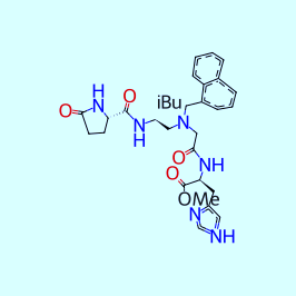 CC[C@H](C)[C@@H](CN(CC(=O)N[C@@H](Cc1c[nH]cn1)C(=O)OC)Cc1cccc2ccccc12)NC(=O)[C@@H]1CCC(=O)N1